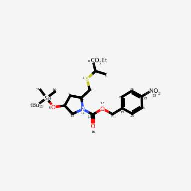 CCOC(=O)C(C)SCC1CC(O[Si](C)(C)C(C)(C)C)CN1C(=O)OCc1ccc([N+](=O)[O-])cc1